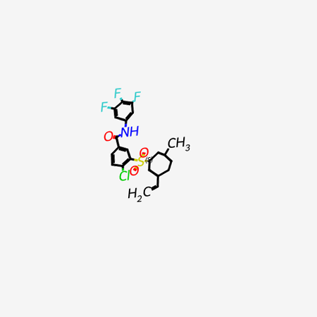 C=CC1CCC(C)C[C@H](S(=O)(=O)c2cc(C(=O)Nc3cc(F)c(F)c(F)c3)ccc2Cl)C1